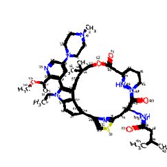 CCn1c(-c2cc(N3CCN(C)CC3)cnc2C(C)OC)c2c3cc(ccc31)-c1csc(n1)C[C@H](NC(=O)CC(C)C)C(=O)N1CCCC(N1)C(=O)OCC(C)(C)C2